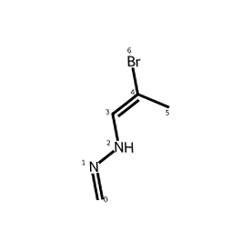 C=NN/C=C(\C)Br